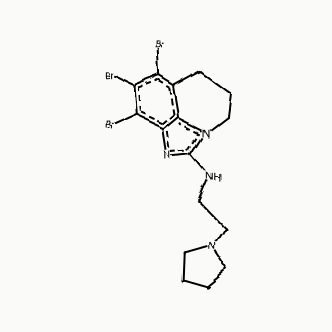 Brc1c(Br)c2c3c(nc(NCCN4CCCC4)n3CCC2)c1Br